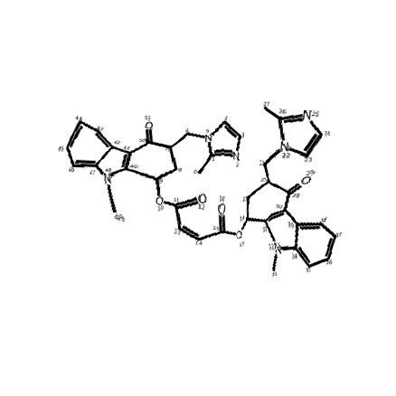 Cc1nccn1CC1CC(OC(=O)/C=C\C(=O)OC2CC(Cn3ccnc3C)C(=O)c3c2n(C)c2ccccc32)c2c(c3ccccc3n2C)C1=O